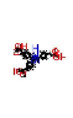 O=C(O)CCc1ccc(C2=NN(c3ccc(CCC(=O)O)cc3)N(c3ccc(CCC(=O)O)cc3)N2)cc1